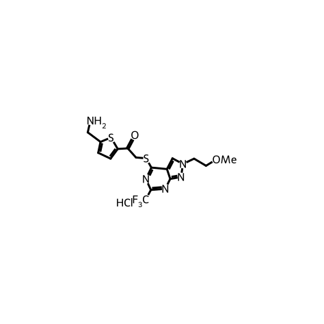 COCCn1cc2c(SCC(=O)c3ccc(CN)s3)nc(C(F)(F)F)nc2n1.Cl